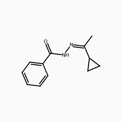 C/C(=N/NC(=O)c1ccccc1)C1CC1